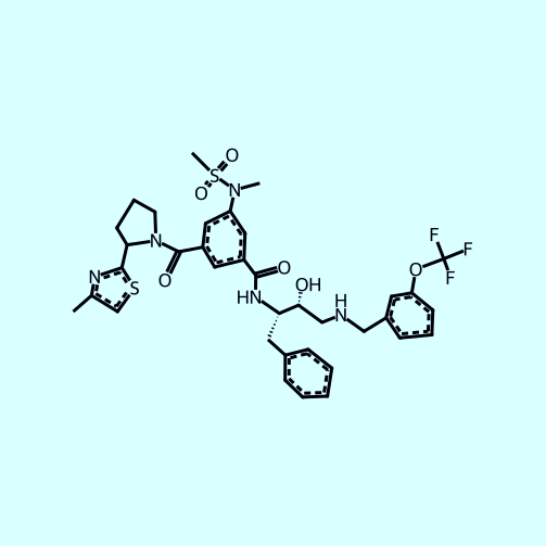 Cc1csc(C2CCCN2C(=O)c2cc(C(=O)N[C@@H](Cc3ccccc3)[C@H](O)CNCc3cccc(OC(F)(F)F)c3)cc(N(C)S(C)(=O)=O)c2)n1